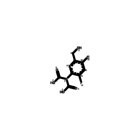 O=C(O)N(C(=O)O)c1nc(CO)c(Cl)cc1F